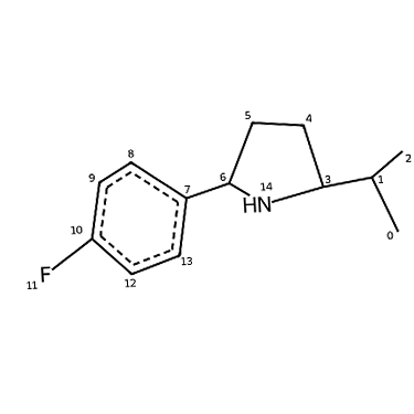 CC(C)C1CCC(c2ccc(F)cc2)N1